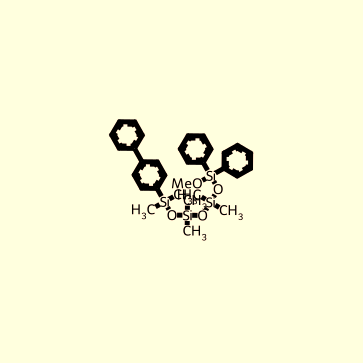 CO[Si](O[Si](C)(C)O[Si](C)(C)O[Si](C)(C)c1ccc(-c2ccccc2)cc1)(c1ccccc1)c1ccccc1